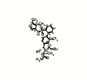 CCCCC(=O)[N+](C)(Cc1ccc(-c2ccccc2S(=O)(=O)Nc2noc(C)c2C)c(C(F)(F)F)c1)[C@H](C(N)=O)C(C)C